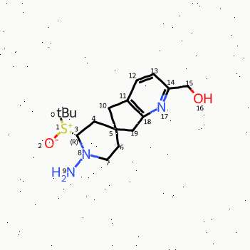 CC(C)(C)[S+]([O-])[C@@H]1CC2(CCN1N)Cc1ccc(CO)nc1C2